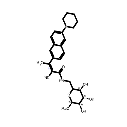 CO[C@H]1OC(CNC(=O)/C(C#N)=C(/C)c2ccc3cc(N4CCCCC4)ccc3c2)[C@@H](O)[C@H](O)[C@H]1O